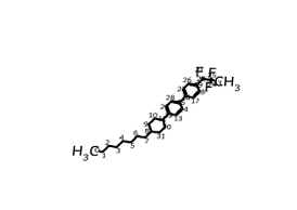 CCCCCCCCC1CCC(c2ccc(-c3ccc(C(F)C(C)(F)F)cc3)cc2)CC1